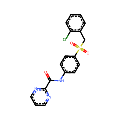 O=C(Nc1ccc(S(=O)(=O)Cc2ccccc2Cl)cc1)c1ncccn1